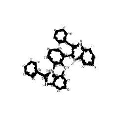 c1ccc(-c2nc3ccccc3nc2-c2cccc3c2Sc2cccc4nc(-c5ccccc5)n-3c24)cc1